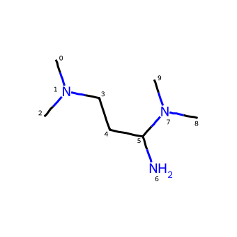 CN(C)CCC(N)N(C)C